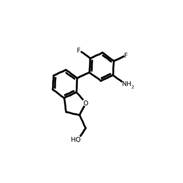 Nc1cc(-c2cccc3c2OC(CO)C3)c(F)cc1F